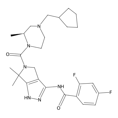 C[C@H]1CN(CC2CCCC2)CCN1C(=O)N1Cc2c(NC(=O)c3ccc(F)cc3F)n[nH]c2C1(C)C